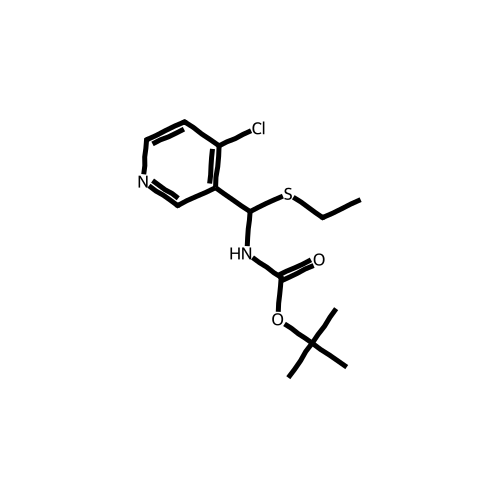 CCSC(NC(=O)OC(C)(C)C)c1cnccc1Cl